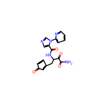 NC(=O)C(=O)C(CC1=CC(=O)C=C1)NC(=O)c1cncn1-c1ccccn1